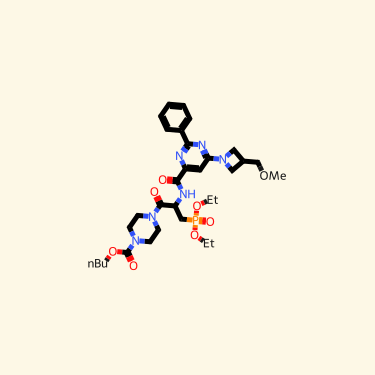 CCCCOC(=O)N1CCN(C(=O)C(CP(=O)(OCC)OCC)NC(=O)c2cc(N3CC(COC)C3)nc(-c3ccccc3)n2)CC1